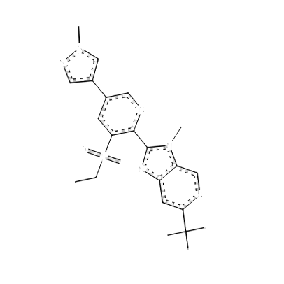 CCS(=O)(=O)c1cc(-c2cnn(C)c2)cnc1-c1nc2cc(C(F)(F)F)ncc2n1C